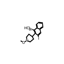 CON1CCC(c2c(I)cc3ccccc3c2Br)CC1.Cl